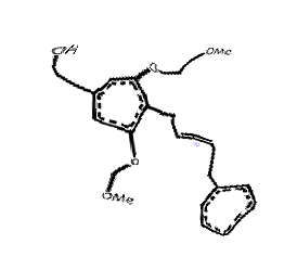 COCOc1cc(CO)cc(OCOC)c1C/C=C/c1ccccc1